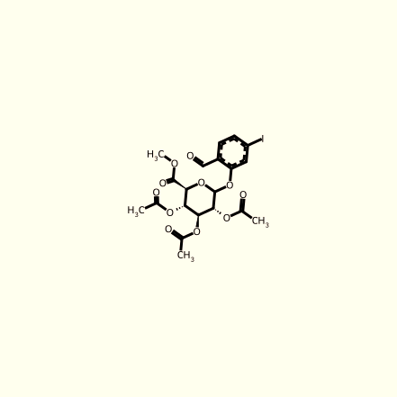 COC(=O)[C@H]1OC(Oc2cc(I)ccc2C=O)[C@H](OC(C)=O)[C@@H](OC(C)=O)[C@@H]1OC(C)=O